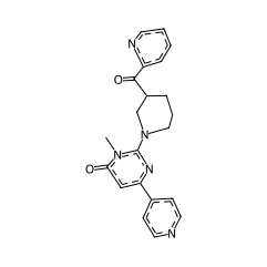 Cn1c(N2CCCC(C(=O)c3ccccn3)C2)nc(-c2ccncc2)cc1=O